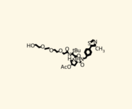 CC(=O)O[C@@H]1C[C@@H](C(=O)NCc2ccc(-c3scnc3C)cc2)N(C(=O)C(NC(=O)COCCOCCOCCO)C(C)(C)C)C1